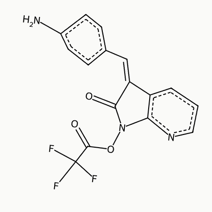 Nc1ccc(C=C2C(=O)N(OC(=O)C(F)(F)F)c3ncccc32)cc1